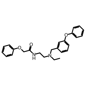 CCN(CCNC(=O)COc1ccccc1)Cc1cccc(Oc2ccccc2)c1